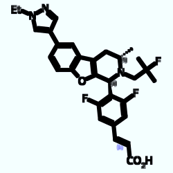 CCn1cc(-c2ccc3oc4c(c3c2)C[C@H](C)N(CC(C)(C)F)[C@H]4c2c(F)cc(/C=C/C(=O)O)cc2F)cn1